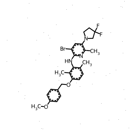 COc1ccc(COc2ccc(C)c(Nc3nc(C)c(N4CCC(F)(F)C4)cc3Br)c2C)cc1